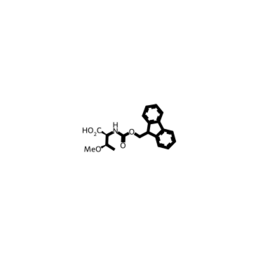 CO[C@H](C)[C@H](NC(=O)OCC1c2ccccc2-c2ccccc21)C(=O)O